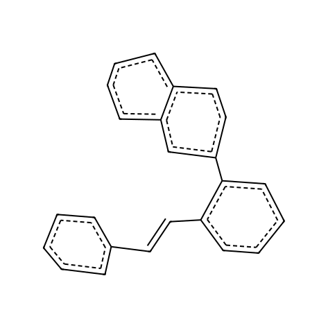 C(=Cc1ccccc1-c1ccc2ccccc2c1)c1ccccc1